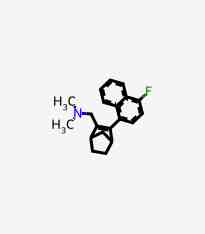 CN(C)CC1=C(c2ccc(F)c3ccccc23)C2CCC1C2